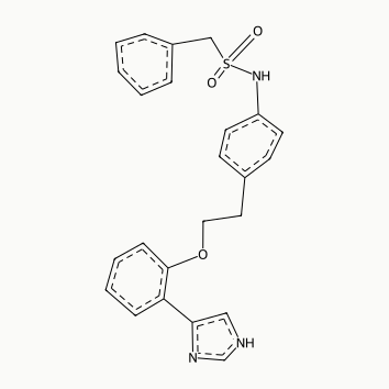 O=S(=O)(Cc1ccccc1)Nc1ccc(CCOc2ccccc2-c2c[nH]cn2)cc1